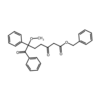 COC(CCC(=O)CC(=O)OCc1ccccc1)(C(=O)c1ccccc1)c1ccccc1